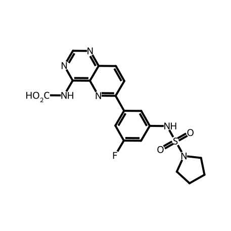 O=C(O)Nc1ncnc2ccc(-c3cc(F)cc(NS(=O)(=O)N4CCCC4)c3)nc12